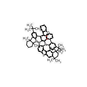 CC(C)(C)c1ccc(N2c3cc4oc5ccccc5c4c4c3B(c3ccc5sc6cc7c(cc6c5c32)C(C)(C)CCC7(C)C)N2c3c-4cc(C(C)(C)C)cc3C3(C)CCCCC23C)c(-c2ccccc2)c1